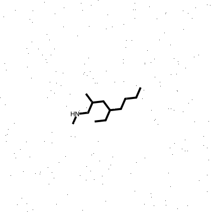 CCCCC(CC)CC(C)CNC